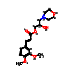 COc1ccc(/C=C/C(=O)OCC(O)CN2CCOCC2)cc1OC